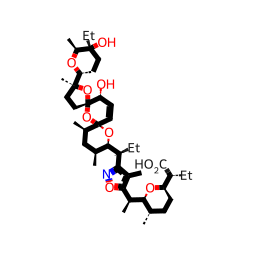 CC[C@@H](C(=O)O)[C@H]1CC[C@H](C)[C@H]([C@@H](C)c2onc([C@H](CC)[C@H]3O[C@]4(C=C[C@@H](O)[C@]5(CC[C@@](C)([C@H]6CC[C@](O)(CC)[C@H](C)O6)O5)O4)[C@H](C)C[C@@H]3C)c2C)O1